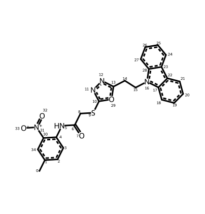 Cc1ccc(NC(=O)CSc2nnc(CCn3c4ccccc4c4ccccc43)o2)c([N+](=O)[O-])c1